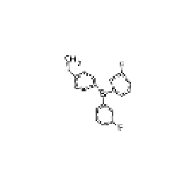 C=Cc1ccc(B(c2cccc(F)c2)c2cccc(F)c2)cc1